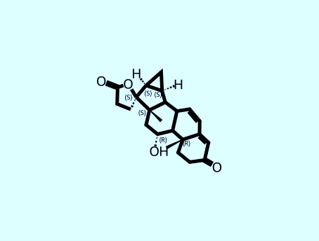 C[C@]12CCC(=O)C=C1C=CC1C2[C@H](O)C[C@@]2(C)C1[C@@H]1C[C@@H]1[C@@]21CCC(=O)O1